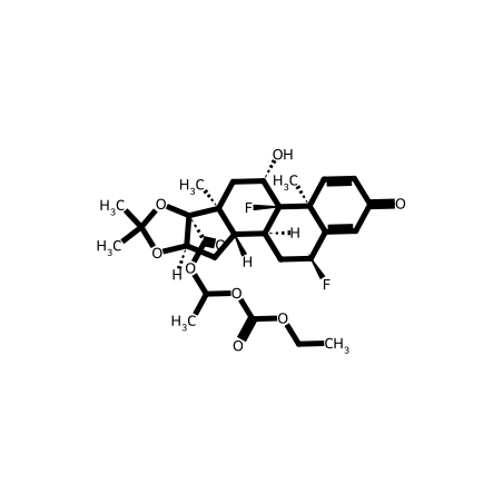 CCOC(=O)OC(C)OC(=O)[C@@]12OC(C)(C)O[C@@H]1C[C@H]1[C@@H]3C[C@H](F)C4=CC(=O)C=C[C@]4(C)[C@@]3(F)[C@@H](O)C[C@@]12C